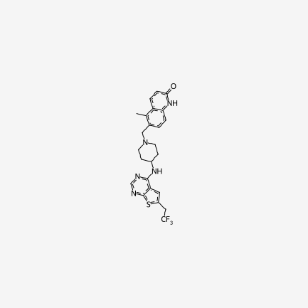 Cc1c(CN2CCC(Nc3ncnc4sc(CC(F)(F)F)cc34)CC2)ccc2[nH]c(=O)ccc12